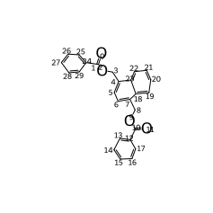 O=C(OCc1ccc(COC(=O)c2ccccc2)c2ccccc12)c1ccccc1